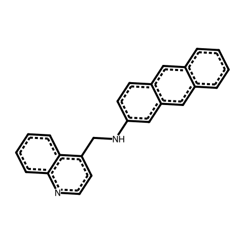 c1ccc2cc3cc(NCc4ccnc5ccccc45)ccc3cc2c1